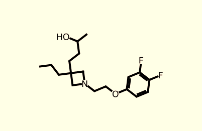 CCCC1(CCC(C)O)CN(CCOc2ccc(F)c(F)c2)C1